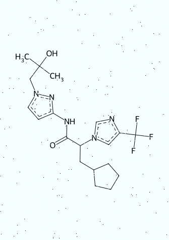 CC(C)(O)Cn1ccc(NC(=O)C(CC2CCCC2)n2cnc(C(F)(F)F)c2)n1